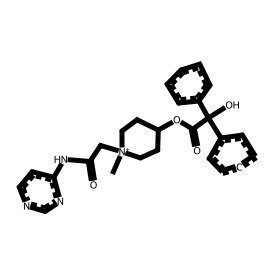 C[N+]1(CC(=O)Nc2ccncn2)CCC(OC(=O)C(O)(c2ccccc2)c2ccccc2)CC1